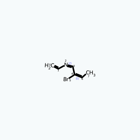 C=C/N=C\C(Br)=C/C